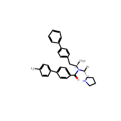 CC(=O)C([C@@H]1CCCN1)N(C(=O)c1ccc(-c2ccc(C(F)(F)F)cc2)cc1)[C@@H](Cc1ccc(-c2ccccc2)cc1)C(=O)O